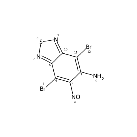 Nc1c(N=O)c(Br)c2nsnc2c1Br